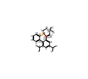 CC(C)c1cc(C(C)C)c(-c2ccccc2P2CC[Si](C)(C)CC2)c(C(C)C)c1